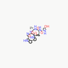 CC(C)C1NC(=O)[C@@H](NC(=O)[C@@H]2C[C@@H](O)CN2)Cc2ccc3c(c2)C24c5cccc(c5NC2O3)-c2cccc3[nH]cc(c23)-c2cnc(o2)-c2nc1oc24